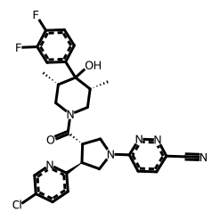 C[C@@H]1CN(C(=O)[C@@H]2CN(c3ccc(C#N)nn3)C[C@H]2c2ccc(Cl)cn2)C[C@H](C)C1(O)c1ccc(F)c(F)c1